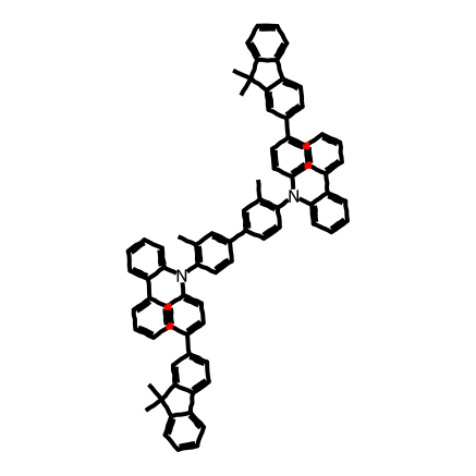 Cc1cc(-c2ccc(N(c3ccc(-c4ccc5c(c4)C(C)(C)c4ccccc4-5)cc3)c3ccccc3-c3ccccc3)c(C)c2)ccc1N(c1ccc(-c2ccc3c(c2)C(C)(C)c2ccccc2-3)cc1)c1ccccc1-c1ccccc1